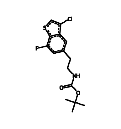 CC(C)(C)OC(=O)NCCc1cc(F)c2scc(Cl)c2c1